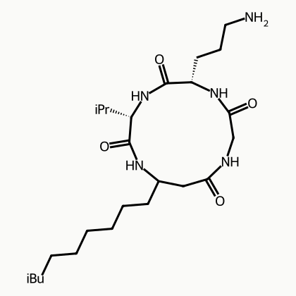 CCC(C)CCCCCCC1CC(=O)NCC(=O)N[C@@H](CCCN)C(=O)N[C@@H](C(C)C)C(=O)N1